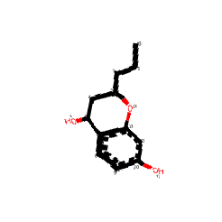 CCCC1CC(O)c2ccc(O)cc2O1